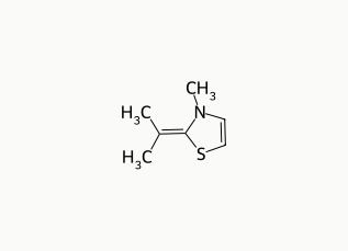 CC(C)=C1SC=CN1C